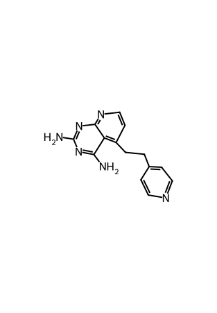 Nc1nc(N)c2c(CCc3ccncc3)ccnc2n1